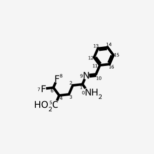 NC(CCC(C(=O)O)C(F)F)N=Cc1ccccc1